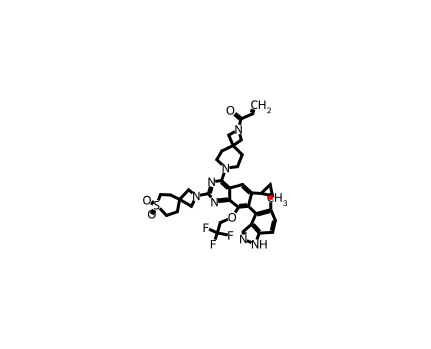 C=CC(=O)N1CC2(CCN(c3nc(N4CC5(CCS(=O)(=O)CC5)C4)nc4c(OCC(F)(F)F)c(-c5c(C)ccc6[nH]ncc56)c(C5CC5)cc34)CC2)C1